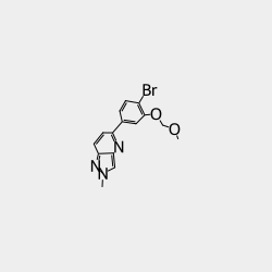 COCOc1cc(-c2ccc3nn(C)cc3n2)ccc1Br